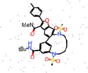 CNC(=O)c1c(-c2ccc(C)cc2)oc2cc3c(cc12)-c1cc(C(=O)NC(C)(C)C)cc(c1)N(S(C)(=O)=O)CCCCCN3S(C)(=O)=O